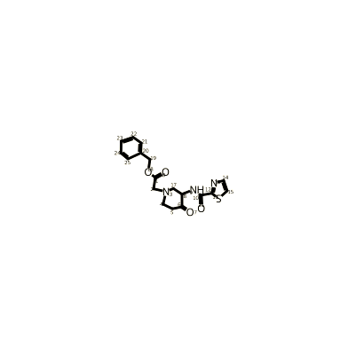 O=C(CN1CCC(=O)C(NC(=O)c2nccs2)C1)OCc1ccccc1